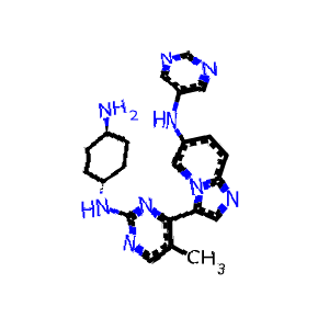 Cc1cnc(N[C@H]2CC[C@H](N)CC2)nc1-c1cnc2ccc(Nc3cncnc3)cn12